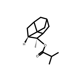 CC(C)C(=O)O[C@]1(C)C2CC3CC(C2)C[C@@H]1C3